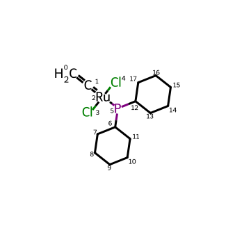 C=[C]=[Ru]([Cl])([Cl])[P](C1CCCCC1)C1CCCCC1